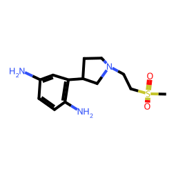 CS(=O)(=O)CCN1CCC(c2cc(N)ccc2N)C1